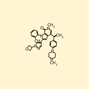 C=C(c1ccc(N2CCN(C)CC2)cc1)c1cn(C)c(=O)c2c1cc(-c1cnn(C3COC3)c1)n2-c1ccccc1C